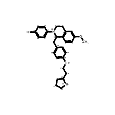 COc1ccc2c(c1)CCN(c1ccc(F)cc1)C2Cc1ccc(OCCC2CCCN2)cc1